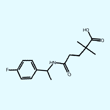 CC(NC(=O)CCC(C)(C)C(=O)O)c1ccc(F)cc1